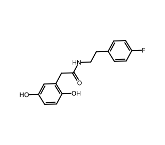 O=C(Cc1cc(O)ccc1O)NCCc1ccc(F)cc1